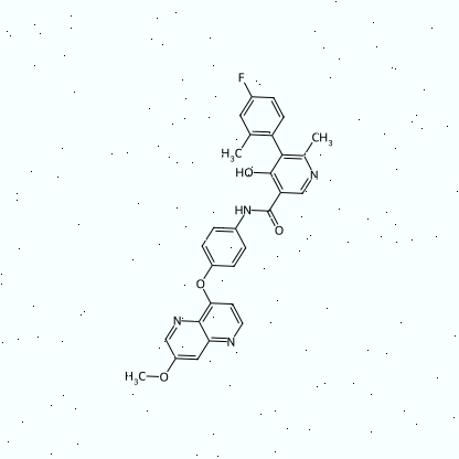 COc1cnc2c(Oc3ccc(NC(=O)c4cnc(C)c(-c5ccc(F)cc5C)c4O)cc3)ccnc2c1